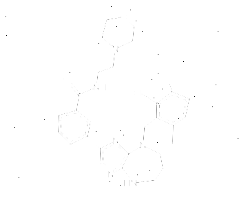 O=C(NCCN1CCOCC1)c1cccc(-c2cnc3c(n2)N(Cc2c(F)ccc(F)c2Cl)CCCN3)c1